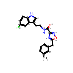 Cc1cccc(Cc2nc(C(=O)NCCc3c[nH]c4ccc(Cl)cc34)no2)c1